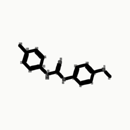 COc1ccc(OC(=O)Nc2ccc(C)cc2)cc1